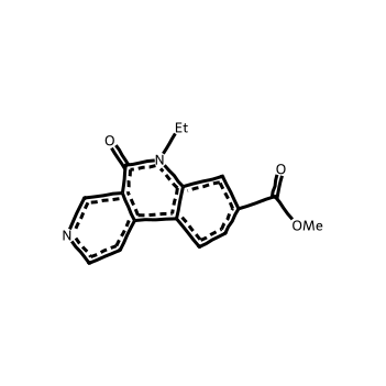 CCn1c(=O)c2cnccc2c2ccc(C(=O)OC)cc21